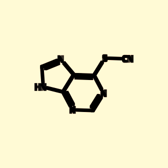 N#CSc1ncnc2[nH]cnc12